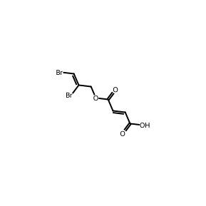 O=C(O)C=CC(=O)OCC(Br)=CBr